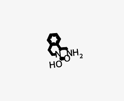 NCC1c2ccccc2CCN1C(=O)O